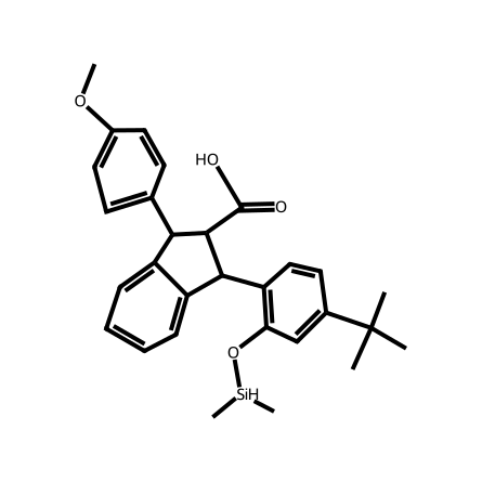 COc1ccc(C2c3ccccc3C(c3ccc(C(C)(C)C)cc3O[SiH](C)C)C2C(=O)O)cc1